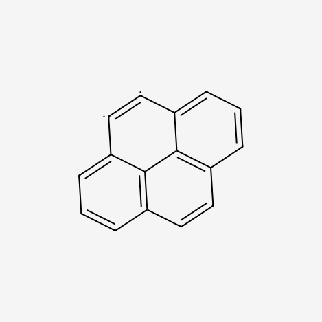 [c]1[c]c2cccc3ccc4cccc1c4c23